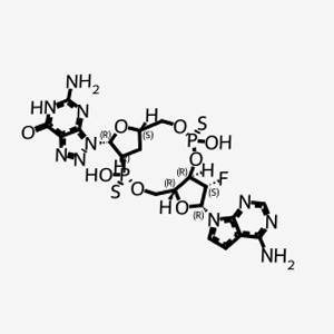 Nc1nc2c(nnn2[C@@H]2O[C@@H]3COP(O)(=S)O[C@H]4[C@H](F)[C@H](n5ccc6c(N)ncnc65)O[C@@H]4COP(O)(=S)[C@@H]2C3)c(=O)[nH]1